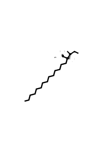 CCCCCCCCCCCCCCC1(C(=O)OC)OC1(C)CC